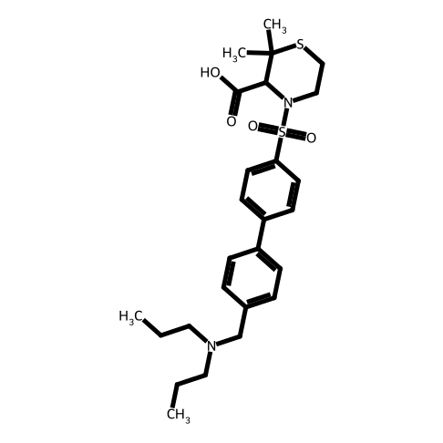 CCCN(CCC)Cc1ccc(-c2ccc(S(=O)(=O)N3CCSC(C)(C)C3C(=O)O)cc2)cc1